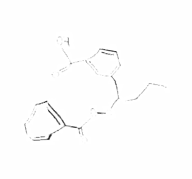 CCCC(OOC(=O)c1ccccc1)c1cccc(C(=O)O)c1